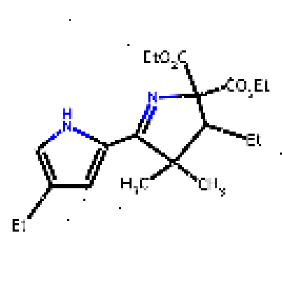 CCOC(=O)C1(C(=O)OCC)N=C(c2cc(CC)c[nH]2)C(C)(C)C1CC